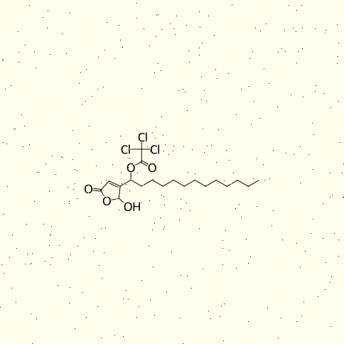 CCCCCCCCCCCCC(OC(=O)C(Cl)(Cl)Cl)C1=CC(=O)OC1O